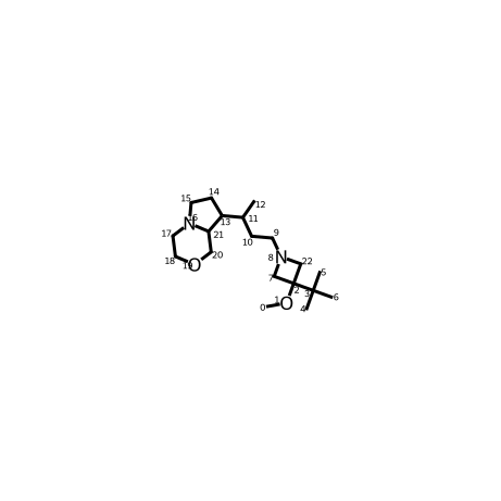 COC1(C(C)(C)C)CN(CCC(C)C2CCN3CCOCC23)C1